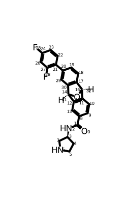 O=C(N[C@H]1CCNC1)c1ccc2c(c1)[C@@H]1O[C@H]2c2ccc(-c3ccc(F)cc3F)cc21